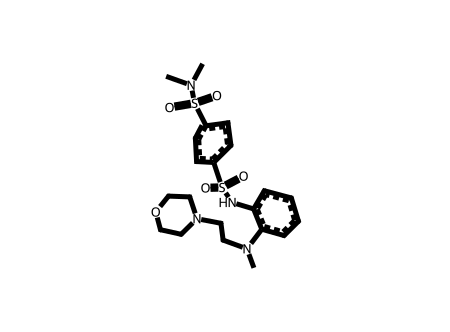 CN(CCN1CCOCC1)c1ccccc1NS(=O)(=O)c1ccc(S(=O)(=O)N(C)C)cc1